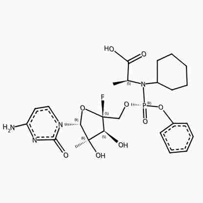 C[C@@H](C(=O)O)N(C1CCCCC1)[P@@](=O)(OC[C@@]1(F)O[C@@H](n2ccc(N)nc2=O)[C@](C)(O)[C@@H]1O)Oc1ccccc1